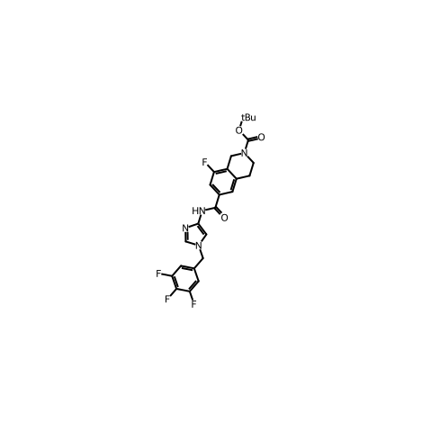 CC(C)(C)OC(=O)N1CCc2cc(C(=O)Nc3cn(Cc4cc(F)c(F)c(F)c4)cn3)cc(F)c2C1